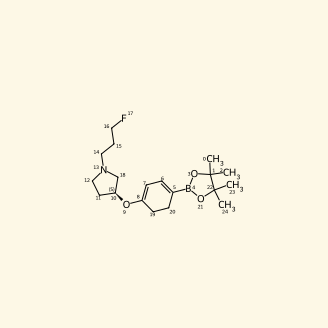 CC1(C)OB(C2=CC=C(O[C@H]3CCN(CCCF)C3)CC2)OC1(C)C